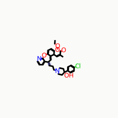 CCOOC(=O)C(C)=CC1C=CC=C2Oc3ncccc3/C(=C/CCN3CCC(O)(c4ccc(Cl)cc4)CC3)C=C21